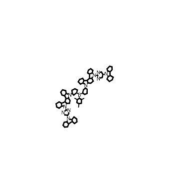 Cc1cc(C)c(B(c2cccc(-n3c4ccccc4c4c5c6ccccc6n(-c6ncc(-n7c8ccccc8c8ccccc87)cn6)c5ccc43)c2)c2cccc(-n3c4ccccc4c4c5c6ccccc6n(-c6ncc(-n7c8ccccc8c8ccccc87)cn6)c5ccc43)c2)c(C)c1